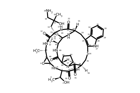 C[C@H](O)C1NC2OC2[C@H](C)NC(=O)[C@H](CC(C)(O)CN)NC(=O)[C@@H]2Cc3c([nH]c4ccccc34)SC[C@@H](NC1=O)C(=O)N1CCC[C@H]1C(=O)N[C@@H](C)C(O)N2